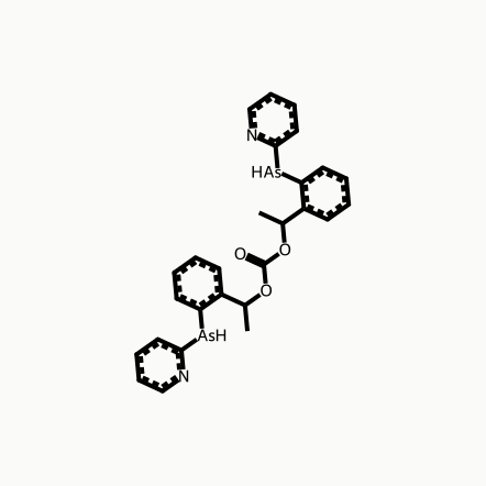 CC(OC(=O)OC(C)c1ccccc1[AsH]c1ccccn1)c1ccccc1[AsH]c1ccccn1